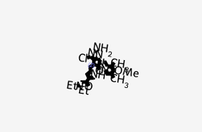 CCN(CC)CC(=O)c1c[nH]c(/C=C2\C(=O)N(Cc3ncc(C)c(OC)c3C)c3nc(N)nc(Cl)c32)c1